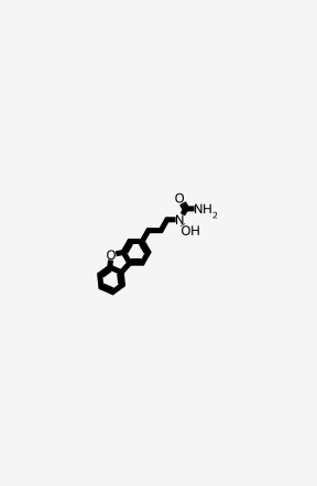 NC(=O)N(O)CCCc1ccc2c(c1)oc1ccccc12